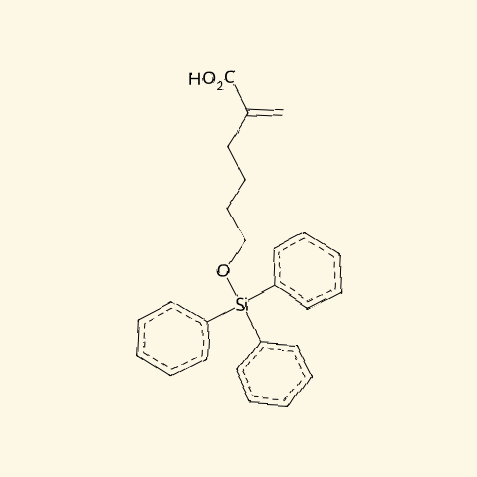 C=C(CCCCO[Si](c1ccccc1)(c1ccccc1)c1ccccc1)C(=O)O